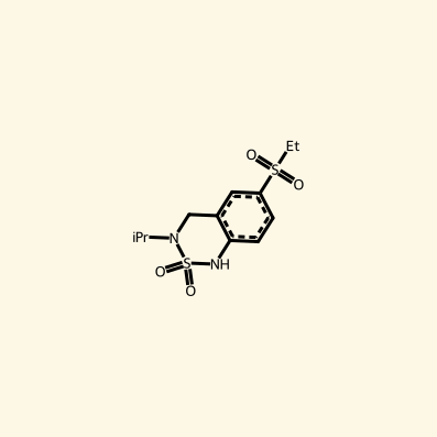 CCS(=O)(=O)c1ccc2c(c1)CN(C(C)C)S(=O)(=O)N2